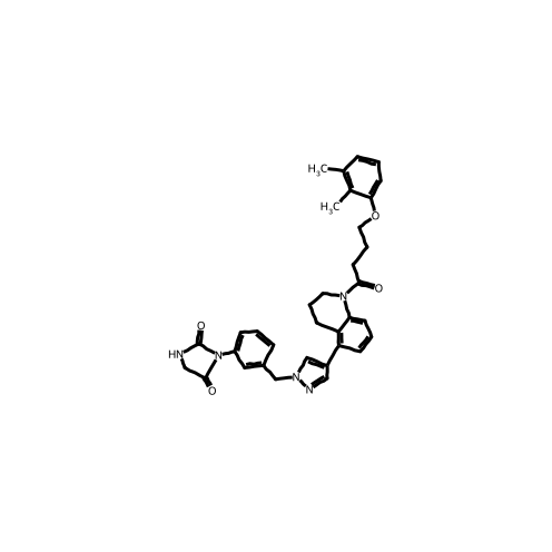 Cc1cccc(OCCCC(=O)N2CCCc3c(-c4cnn(Cc5cccc(N6C(=O)CNC6=O)c5)c4)cccc32)c1C